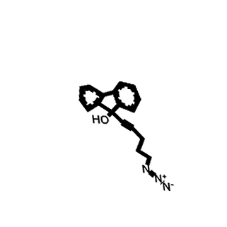 [N-]=[N+]=NCCCC#CC1(O)c2ccccc2-c2ccccc21